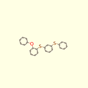 c1ccc(Oc2ccccc2Sc2cccc(Sc3ccccc3)c2)cc1